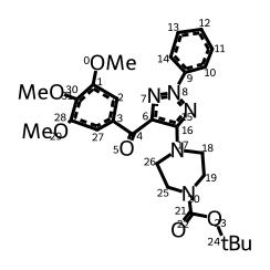 COc1cc(C(=O)c2nn(-c3ccccc3)nc2N2CCN(C(=O)OC(C)(C)C)CC2)cc(OC)c1OC